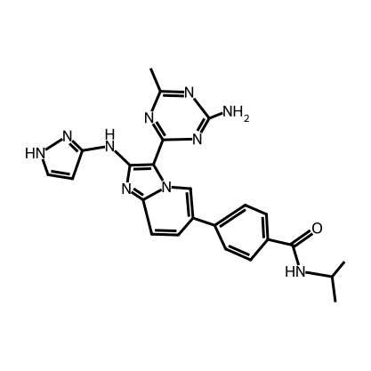 Cc1nc(N)nc(-c2c(Nc3cc[nH]n3)nc3ccc(-c4ccc(C(=O)NC(C)C)cc4)cn23)n1